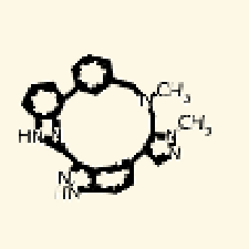 CN1Cc2cccc(c2)-c2cccc3[nH]c(nc23)-c2n[nH]c3ccc(cc23)-c2cnn(C)c2C1